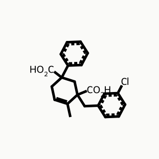 CC1=CCC(C(=O)O)(c2ccccc2)CC1(Cc1cccc(Cl)c1)C(=O)O